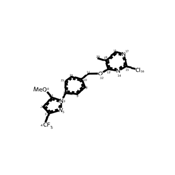 COc1cc(C(F)(F)F)nn1-c1ccc(COc2nc(Cl)ncc2C)cc1